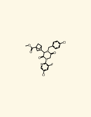 COC(=O)C12CC(C1)C(C1C(=O)N(c3ncc(Cl)cc3F)CC(=O)N1Cc1ccc(Cl)cc1)C2